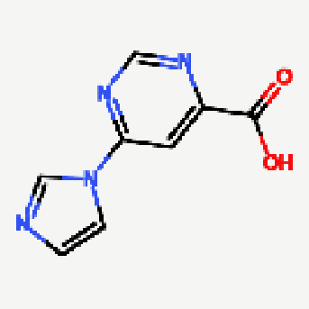 O=C(O)c1cc(-n2ccnc2)ncn1